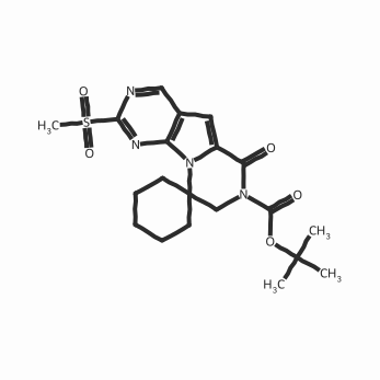 CC(C)(C)OC(=O)N1CC2(CCCCC2)n2c(cc3cnc(S(C)(=O)=O)nc32)C1=O